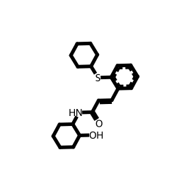 O=C(C=Cc1ccccc1SC1CCCCC1)NC1CCCCC1O